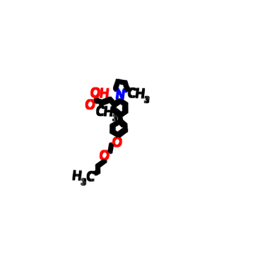 CCCCOCCOc1ccc(-c2ccc(N3CCCC3C)c(/C=C(\C)C(=O)O)c2)cc1